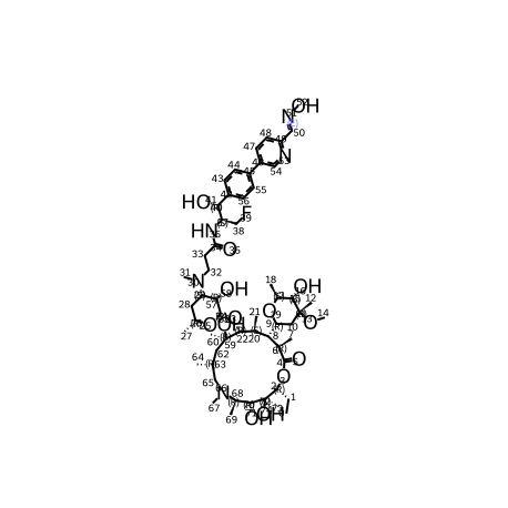 CC[C@H]1OC(=O)[C@H](C)C([C@H]2C[C@@](C)(OC)[C@@H](O)[C@H](C)O2)[C@H](C)[C@@H](O[C@@H]2O[C@H](C)C[C@H](N(C)CCC(=O)N[C@H](CF)[C@H](O)c3ccc(-c4ccc(/C=N/O)nc4)cc3)[C@H]2O)[C@](C)(O)C[C@@H](C)CN(C)[C@H](C)[C@@H](O)[C@]1(C)O